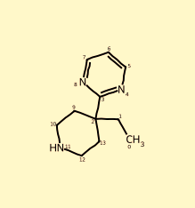 CCC1(c2ncccn2)CCNCC1